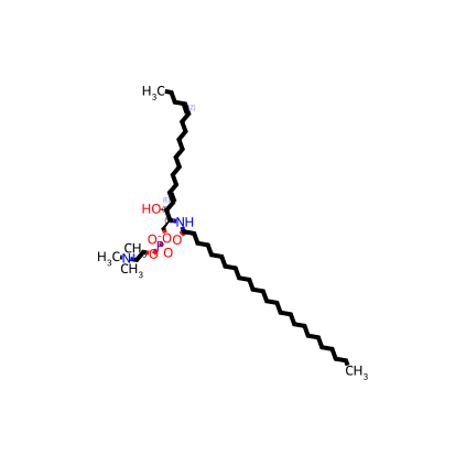 CCC/C=C\CCCCCCCC/C=C/[C@@H](O)[C@H](COP(=O)([O-])OCC[N+](C)(C)C)NC(=O)CCCCCCCCCCCCCCCCCCCCCCCC